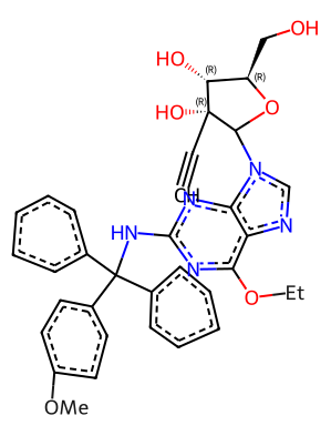 C#C[C@]1(O)C(n2cnc3c(OCC)nc(NC(c4ccccc4)(c4ccccc4)c4ccc(OC)cc4)nc32)O[C@H](CO)[C@H]1O